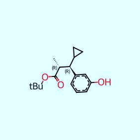 C[C@@H](C(=O)OC(C)(C)C)[C@H](c1cccc(O)c1)C1CC1